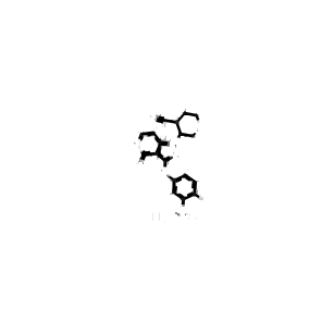 C[S+]([O-])c1cc(Nc2nn(C3COCCC3C#N)c3cc[nH]c(=O)c23)ccc1Cl